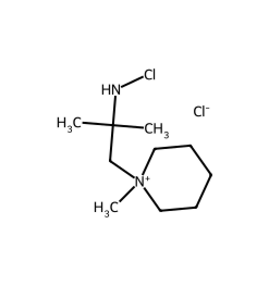 CC(C)(C[N+]1(C)CCCCC1)NCl.[Cl-]